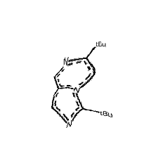 CC(C)(C)c1cn2c(C(C)(C)C)ncc2cn1